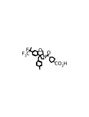 Cc1ccc(CC23CCN(C(=O)[C@H]4CC[C@H](C(=O)O)CC4)C2COc2cc(C(C)(F)C(F)(F)F)ccc23)cc1